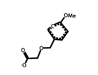 COc1ccc(COCC([O])=O)cc1